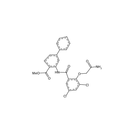 COC(=O)c1ccc(-c2ccccc2)cc1NC(=O)c1cc(Cl)cc(Cl)c1OCC(N)=O